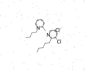 CCCCCc1ncccc1Cl.CCCC[n+]1ccccc1C.[Cl-]